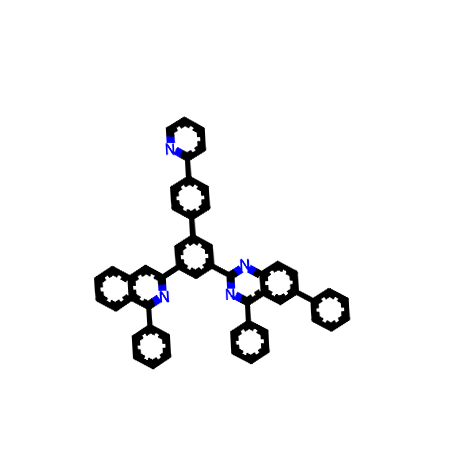 c1ccc(-c2ccc3nc(-c4cc(-c5ccc(-c6ccccn6)cc5)cc(-c5cc6ccccc6c(-c6ccccc6)n5)c4)nc(-c4ccccc4)c3c2)cc1